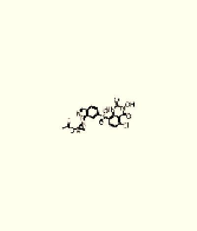 CC(=O)O[C@@H]1C[C@H]1n1ncc2ccc(S(=O)(=O)c3ccc(Cl)c4c(=O)n(O)c(=O)[nH]c34)cc21